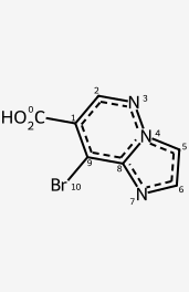 O=C(O)c1cnn2ccnc2c1Br